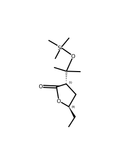 CC[C@@H]1C[C@@H](C(C)(C)O[Si](C)(C)C)C(=O)O1